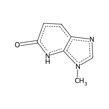 Cn1cnc2ccc(=O)[nH]c21